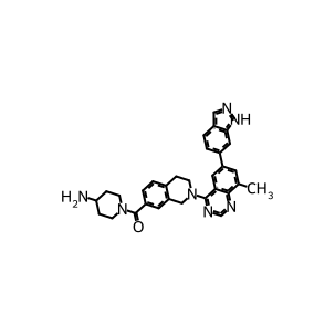 Cc1cc(-c2ccc3cn[nH]c3c2)cc2c(N3CCc4ccc(C(=O)N5CCC(N)CC5)cc4C3)ncnc12